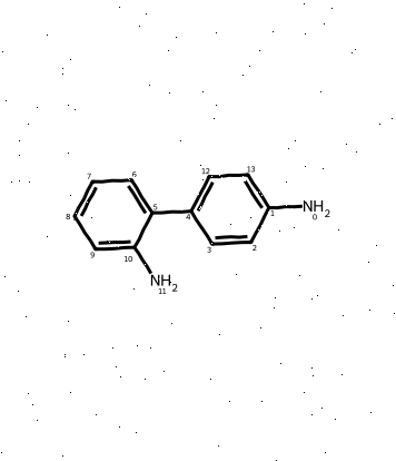 Nc1ccc(-c2cc[c]cc2N)cc1